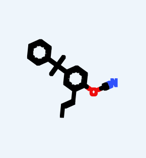 CC=Cc1cc(C(C)(C)c2ccccc2)ccc1OC#N